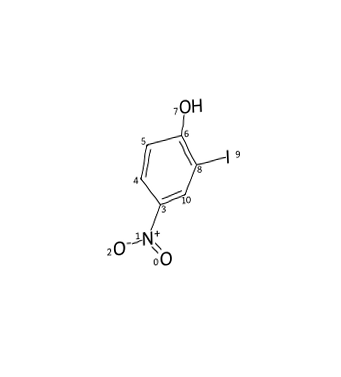 O=[N+]([O-])c1ccc(O)c(I)c1